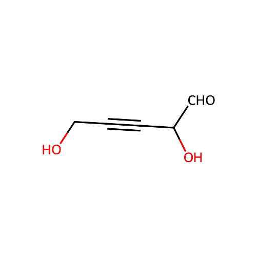 O=CC(O)C#CCO